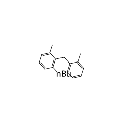 CCCCc1cccc(C)c1Cc1ccccc1C